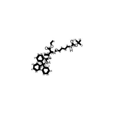 CCOC(=O)C(=NOCCCCNC(=O)OC(C)(C)C)c1csc(NC(c2ccccc2)(c2ccccc2)c2ccccc2)n1